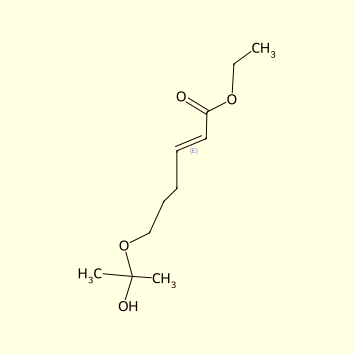 CCOC(=O)/C=C/CCCOC(C)(C)O